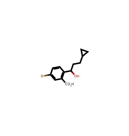 O=C(O)c1cc(Br)ccc1C(O)CCC1CC1